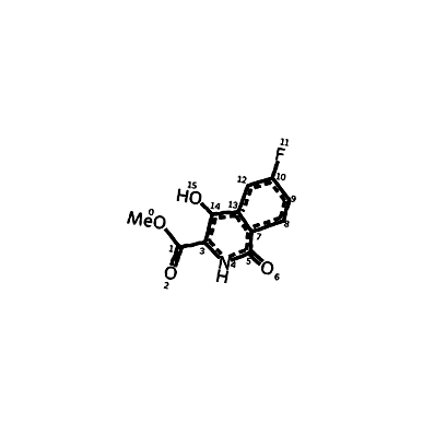 COC(=O)c1[nH]c(=O)c2ccc(F)cc2c1O